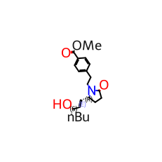 CCCC[C@H](O)/C=C/[C@H]1CCC(=O)N1CCc1ccc(C(=O)OC)cc1